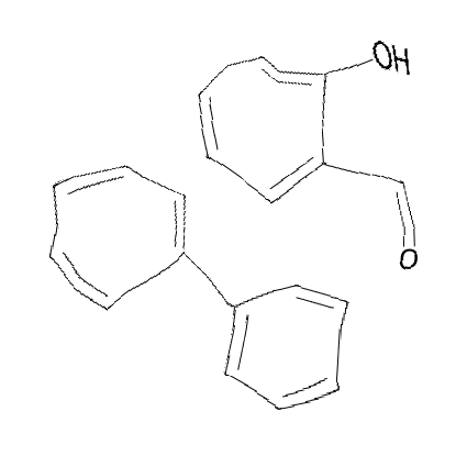 O=Cc1ccccc1O.c1ccc(-c2ccccc2)cc1